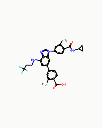 Cc1cc(-c2cc(NCCC(F)(F)F)c3ncn(-c4ccc(C(=O)NC5CC5)c(C)c4)c3c2)ccc1C(=O)O